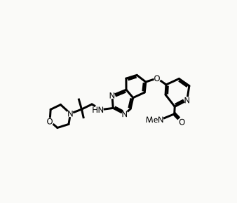 CNC(=O)c1cc(Oc2ccc3nc(NCC(C)(C)N4CCOCC4)ncc3c2)ccn1